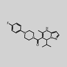 CC1=C(C(=O)N2CCN(c3ccc(F)cc3)CC2)C(C(C)C)n2nccc2N1